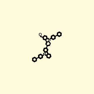 O=Cc1ccc2c(c1)C1=CC(c3ccc4c(c3)c3ccccc3n4-c3ccc(-c4ccccc4)cc3)=CCC1N2c1ccc(-c2ccccc2)cc1